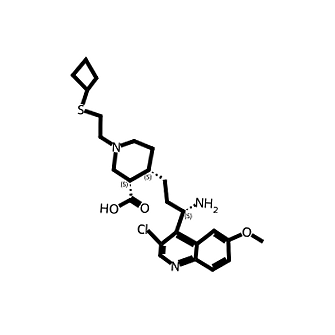 COc1ccc2ncc(Cl)c([C@@H](N)CC[C@H]3CCN(CCSC4CCC4)C[C@H]3C(=O)O)c2c1